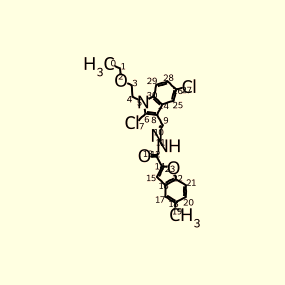 CCOCCn1c(Cl)c(/C=N/NC(=O)c2cc3cc(C)ccc3o2)c2cc(Cl)ccc21